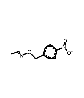 CC=NOCc1ccc([N+](=O)[O-])cc1